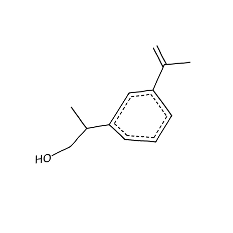 C=C(C)c1cccc(C(C)CO)c1